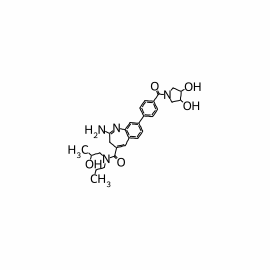 CCCN(CC(C)O)C(=O)C1=Cc2ccc(-c3ccc(C(=O)N4CC(O)C(O)C4)cc3)cc2N=C(N)C1